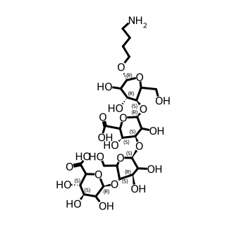 NCCCCO[C@@H]1OC(CO)[C@@H](O[C@@H]2OC(C(=O)O)[C@@H](O)[C@H](O[C@@H]3OC(CO)[C@@H](O[C@@H]4OC(C(=O)O)[C@@H](O)[C@H](O)C4O)[C@H](O)C3O)C2O)[C@H](O)C1O